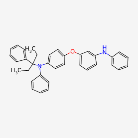 CCC(CC)(c1ccccc1)N(c1ccccc1)c1ccc(Oc2cccc(Nc3ccccc3)c2)cc1